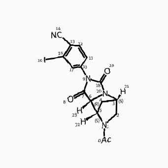 CC(=O)N1C[C@@H]2C[C@H]1[C@@H]1C(=O)N(c3ccc(C#N)c(I)c3)C(=O)N21